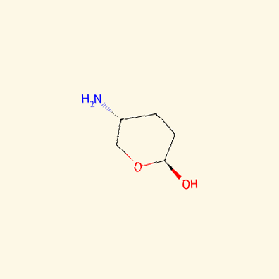 N[C@@H]1CC[C@@H](O)OC1